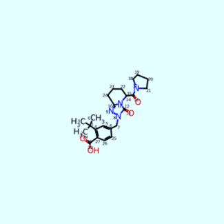 CC(C)(C)c1cc(Cn2nc3n(c2=O)C(C(=O)N2CCCC2)CCC3)ccc1C(=O)O